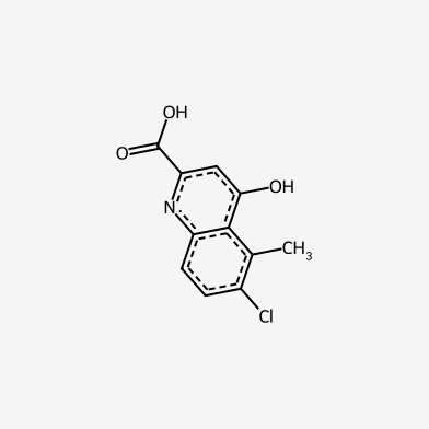 Cc1c(Cl)ccc2nc(C(=O)O)cc(O)c12